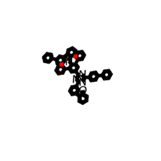 c1ccc(-c2ccc(-c3nc(-c4cc(-c5ccccc5)c(-n5c6ccccc6c6cc(-c7ccccc7)ccc65)c(-c5ccccc5)c4)nc(-c4cccc5c4oc4ccccc45)n3)cc2)cc1